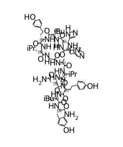 CC[C@H](C)[C@H](NC(=O)[C@H](CCc1ccc(O)cc1)NC(=O)[C@H](CC(N)=O)NC(=O)[C@@H](NC(=O)[C@H](C)NC(=O)CNC(=O)[C@H](CC(C)C)NC(=O)[C@H](CCc1ccc(O)cc1)NC(=O)[C@@H](NC(=O)[C@H](Cc1cnc[nH]1)NC(=O)[C@@H](N)Cc1cnc[nH]1)[C@@H](C)CC)C(C)C)C(=O)N[C@@H](Cc1ccc(O)cc1)C(N)=O